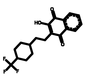 O=C1C(O)=C(CCC2CCC(C(F)(F)F)CC2)C(=O)c2ccccc21